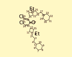 CC[C@]1(CCCC2CCCCC2)C[C@H](C(=CCl)C(=O)C(=CCl)[C@H]2C[C@](CC)(CCCC3CCCCC3)C2)C1